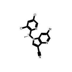 C[C@H](c1ncc(Cl)cc1Cl)n1cc(C#N)c2ncc(Br)cc21